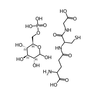 NC(CCC(=O)NC(CS)C(=O)NCC(=O)O)C(=O)O.O=P(O)(O)OC[C@H]1OC(O)[C@H](O)[C@@H](O)[C@@H]1O